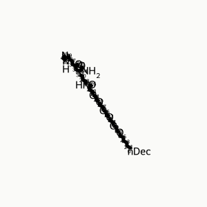 CCCCCCCCCCCCCCCCOCCOCCOCCOCCOCCOCCC(=O)NCCCC[C@H](CC(=O)CCc1cnc[nH]1)C(N)=O